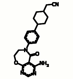 N#CCC1CCC(c2ccc(N3CCOc4ncnc(N)c4C3=O)cc2)CC1